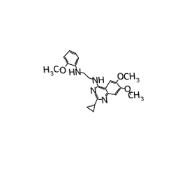 COc1ccccc1NCCNc1nc(C2CC2)nc2cc(OC)c(OC)cc12